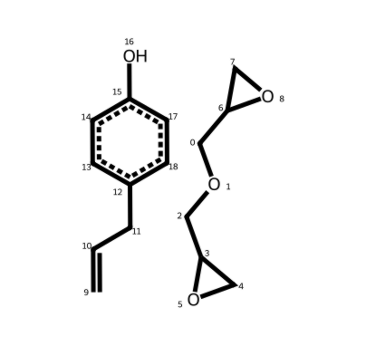 C(OCC1CO1)C1CO1.C=CCc1ccc(O)cc1